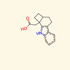 O=C(O)CC12CCC1CCc1c2[nH]c2ccccc12